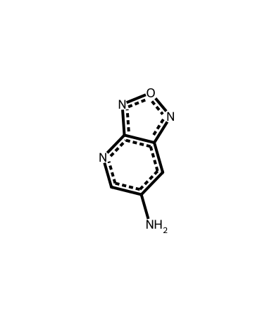 Nc1cnc2nonc2c1